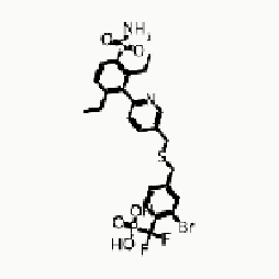 CCc1ccc(S(N)(=O)=O)c(CC)c1-c1ccc(CSCc2ccc(C(F)(F)P(=O)(O)O)c(Br)c2)cn1